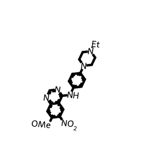 CCN1CCN(c2ccc(Nc3ncnc4cc(OC)c([N+](=O)[O-])cc34)cc2)CC1